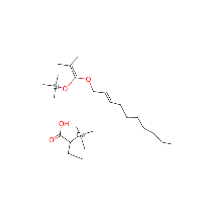 CCCCCCC/C=C/COC(O[Si](C)(C)C)=C(C)C.CC[CH](C(=O)O)[Ge]([CH3])([CH3])[CH3]